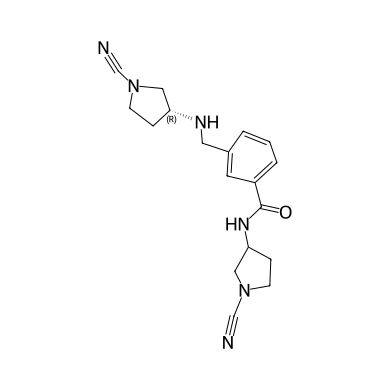 N#CN1CCC(NC(=O)c2cccc(CN[C@@H]3CCN(C#N)C3)c2)C1